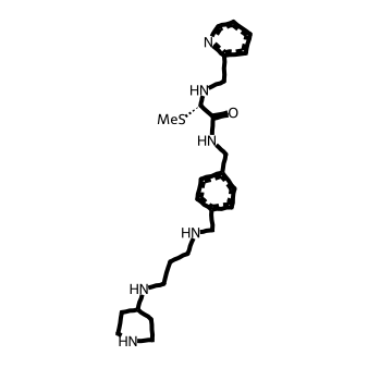 CS[C@H](NCc1ccccn1)C(=O)NCc1ccc(CNCCCNC2CCNCC2)cc1